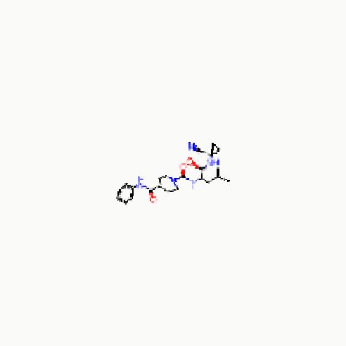 CC(C)CC(NC(=O)N1CCC(C(=O)Nc2ccccc2)CC1)C(=O)NC1(C#N)CC1